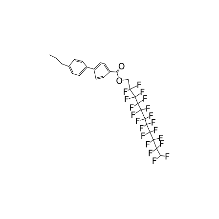 CCCc1ccc(-c2ccc(C(=O)OCC(F)(F)C(F)(F)C(F)(F)C(F)(F)C(F)(F)C(F)(F)C(F)(F)C(F)(F)C(F)(F)C(F)F)cc2)cc1